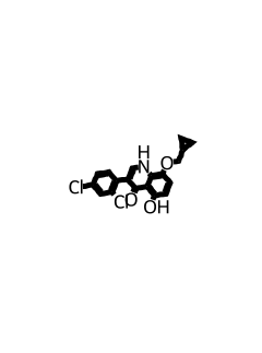 O=c1c(-c2ccc(Cl)cc2Cl)c[nH]c2c(OCC3CC3)ccc(O)c12